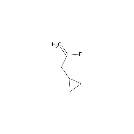 C=C(F)CC1CC1